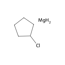 ClC1CCCC1.[MgH2]